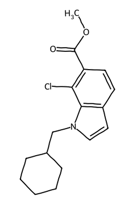 COC(=O)c1ccc2ccn(CC3CCCCC3)c2c1Cl